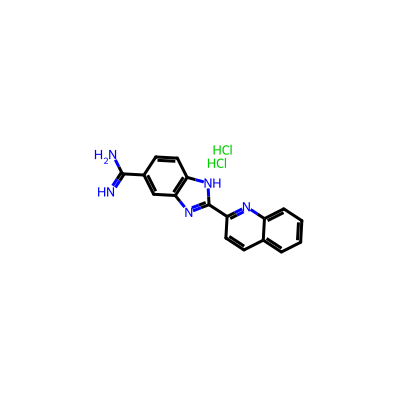 Cl.Cl.N=C(N)c1ccc2[nH]c(-c3ccc4ccccc4n3)nc2c1